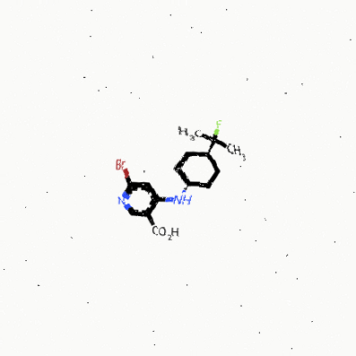 CC(C)(F)[C@H]1CC[C@H](Nc2cc(Br)ncc2C(=O)O)CC1